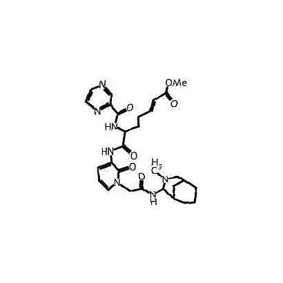 COC(=O)/C=C/CCC(NC(=O)c1cnccn1)C(=O)Nc1cccn(CC(=O)NC2C3CCCC(C3)CN2C)c1=O